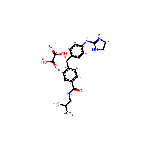 CC(C)CNC(=O)c1ccc(Cc2ccc(NC3=NCCN3)cc2)cc1.O=C(O)C(=O)O